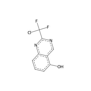 Oc1cccc2nc(C(F)(F)Cl)ncc12